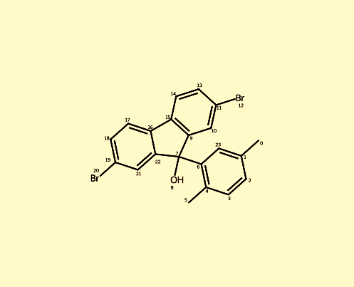 Cc1ccc(C)c(C2(O)c3cc(Br)ccc3-c3ccc(Br)cc32)c1